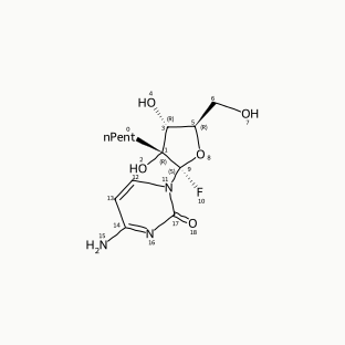 CCCCC[C@@]1(O)[C@H](O)[C@@H](CO)O[C@@]1(F)n1ccc(N)nc1=O